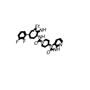 CCN1C[C@H](c2cccc(F)c2F)CC[C@@H](NC(=O)N2CCC(n3c(=O)[nH]c4ncccc43)CC2)C1=N